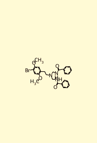 COc1cc(CCN(CNC(=O)c2ccccc2)CNC(=O)c2ccccc2)c(OC)cc1Br